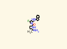 CC(N)C1CCCC(C(=O)N2C[C@H](F)C[C@H]2CN[C@@H]2CCc3ccccc32)N1